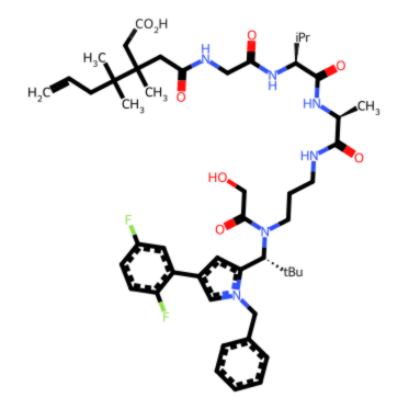 C=CCC(C)(C)C(C)(CC(=O)O)CC(=O)NCC(=O)N[C@H](C(=O)N[C@@H](C)C(=O)NCCCN(C(=O)CO)[C@@H](c1cc(-c2cc(F)ccc2F)cn1Cc1ccccc1)C(C)(C)C)C(C)C